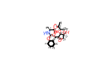 CC(C)CC(C)OC(=O)[C@H](C)N[C@@H](OCC1OC[C@](C)(O)[C@@H]1O)Oc1ccccc1